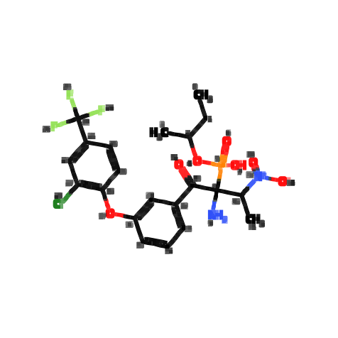 CCC(C)OP(=O)(O)C(N)(C(=O)c1cccc(Oc2ccc(C(F)(F)F)cc2Cl)c1)C(C)[N+](=O)[O-]